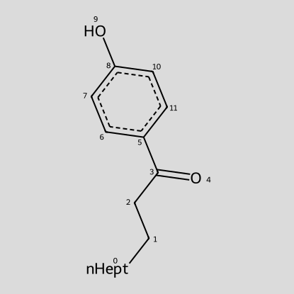 CCCCCCCCCC(=O)c1ccc(O)cc1